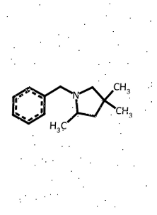 CC1CC(C)(C)CN1Cc1ccccc1